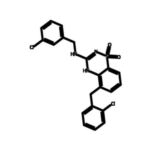 O=S1(=O)N=C(NCc2cccc(Cl)c2)Nc2c(Cc3ccccc3Cl)cccc21